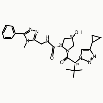 Cn1c(CNC(=O)[C@@H]2C[C@@H](O)CN2C(=O)[C@@H](n2cc(C3CC3)nn2)C(C)(C)C)nnc1-c1ccccc1